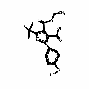 CCOC(=O)c1c(C(F)(F)F)nn(-c2ccc(OC)cc2)c1C(=O)O